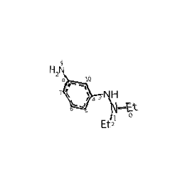 CCN(CC)Nc1cccc(N)c1